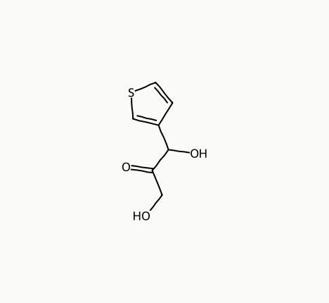 O=C(CO)C(O)c1ccsc1